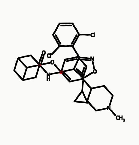 CN1CCC(c2cccc(NC(=O)C3C4CC(OCc5c(-c6c(Cl)cccc6Cl)noc5C5CC5)CC3C4)c2)CC1